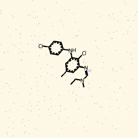 CCN(C)/C=N\c1cc(C)cc(Nc2ccc(Cl)cc2)c1Cl